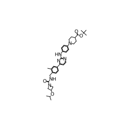 Cc1cc(-c2ccnc(Nc3ccc(N4CCC(C(=O)OC(C)(C)C)CC4)cc3)n2)ccc1CNC(=O)N1CC(OC(C)C)C1